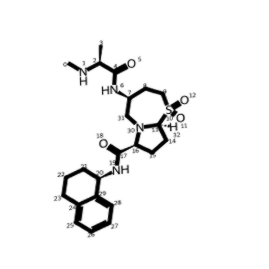 CN[C@@H](C)C(=O)N[C@H]1CCS(=O)(=O)[C@H]2CC[C@@H](C(=O)N[C@@H]3CCCc4ccccc43)N2C1